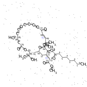 CCCCCCCC(=O)O[C@H]1/C(=C/C(=O)OC)CC2C[C@H]([C@@H](C)O)OC(=O)C[C@H](O)CCOCCCOC(=O)/C=C/C(C)(C)[C@]1(O)O2